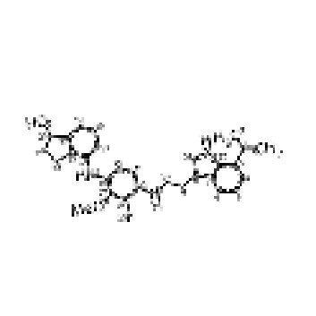 C=C(C)c1cccc2c(CCNc3ccc(Nc4cccc5c4CCC5O)c(OC)c3F)c[nH]c12